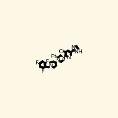 CC[C@H]1CN(c2ncc(-c3ncc[nH]3)cc2Cl)CCN1C1CCN(Cc2c(F)cc(F)cc2F)CC1